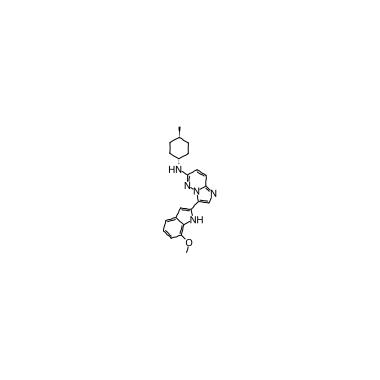 COc1cccc2cc(-c3cnc4ccc(N[C@H]5CC[C@H](C)CC5)nn34)[nH]c12